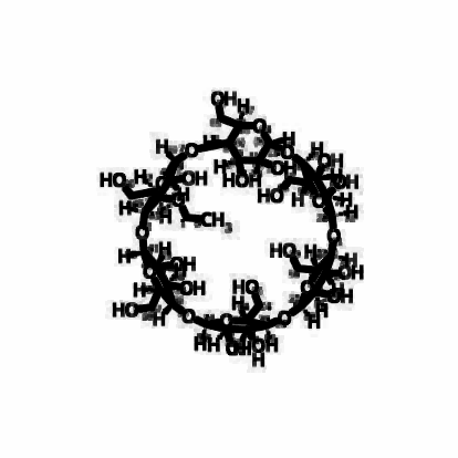 CCO[C@@H]1[C@@H](O)[C@H]2O[C@H]3[C@H](O)[C@@H](O)[C@@H](O[C@H]4[C@H](O)[C@@H](O)[C@@H](O[C@H]5[C@H](O)[C@@H](O)[C@@H](O[C@H]6[C@H](O)[C@@H](O)[C@@H](O[C@H]7[C@H](O)[C@@H](O)[C@@H](O[C@H]1[C@@H](CO)O2)O[C@@H]7CO)O[C@@H]6CO)O[C@@H]5CO)O[C@@H]4CO)O[C@@H]3CO